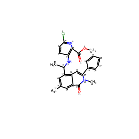 COC(=O)c1nc(Cl)ccc1NC(C)c1cc(C)cc2c(=O)n(C)c(-c3ccccc3)cc12